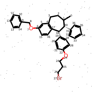 CC1CCc2cc(OCc3ccccc3)ccc2[C@@H](c2ccc(OCCCBr)cc2)[C@H]1c1ccccc1